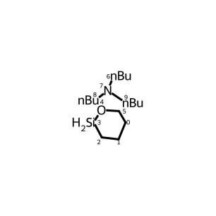 C1CC[SiH2]OC1.CCCCN(CCCC)CCCC